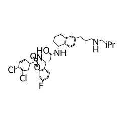 CC(C)CNCCCc1ccc2c(c1)CCC[C@H]2NC(=O)C[C@@H](NS(=O)(=O)C1C=CC(Cl)=C(Cl)C1)c1ccc(F)cc1